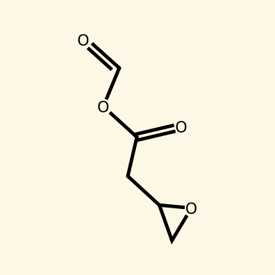 O=COC(=O)CC1CO1